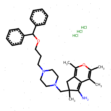 CC1=C(C)C2=C(N)C(C)(CN3CCN(CCCOC(c4ccccc4)c4ccccc4)CC3)CC2=C(C)O1.Cl.Cl.Cl